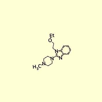 CCOCCn1c(N2CCN(C)CC2)nc2ccccc21